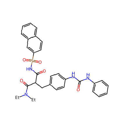 CCN(CC)C(=O)C(Cc1ccc(NC(=O)Nc2ccccc2)cc1)C(=O)NS(=O)(=O)c1ccc2ccccc2c1